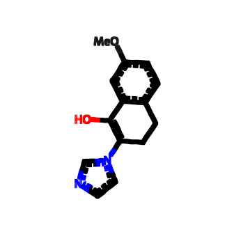 COc1ccc2c(c1)C(O)=C(n1ccnc1)CC2